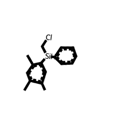 Cc1cc(C)c([SiH](CCl)c2ccccc2)cc1C